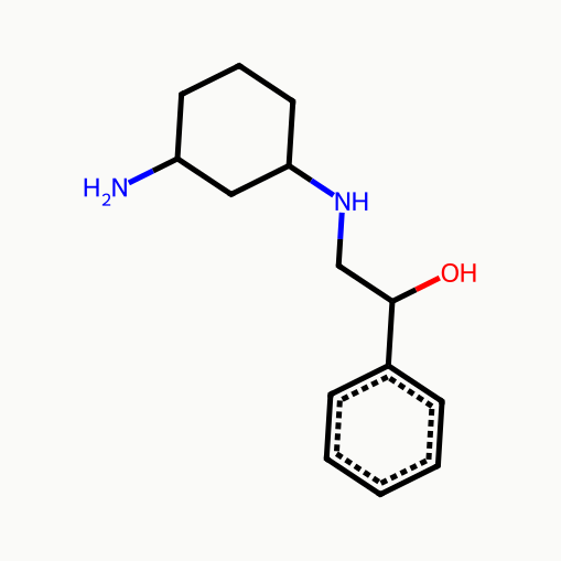 NC1CCCC(NCC(O)c2ccccc2)C1